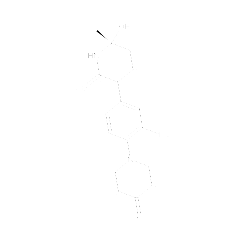 C[C@@]1(O)CCC(c2ccc(N3CCC(=O)CC3)c(F)c2)C(=O)N1